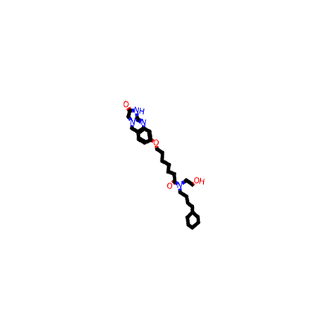 O=C1CN2Cc3ccc(OCCCCCCC(=O)N(CCO)CCCCC4CCCCC4)cc3N=C2N1